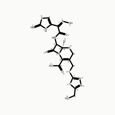 N=c1[nH]c(/C(=N/O)C(=O)NC2C(=O)N3C(C(=O)O)=C(CSc4nnc(CO)s4)CS[C@H]23)cs1